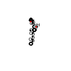 COc1c(CC(NC(C)=O)B2OC3CC4CC(C4(C)C)C3(C)O2)cccc1C(=O)OCOC(=O)OC1CCCCC1